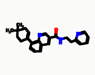 CC1(C)CC=C(c2cccc3cc(C(=O)NCCc4ccccn4)cnc23)CC1